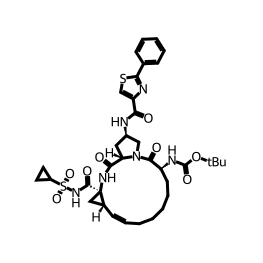 CC(C)(C)OC(=O)N[C@H]1CCCCC/C=C\[C@@H]2C[C@@]2(C(=O)NS(=O)(=O)C2CC2)NC(=O)[C@@H]2C[C@@H](NC(=O)c3csc(-c4ccccc4)n3)CN2C1=O